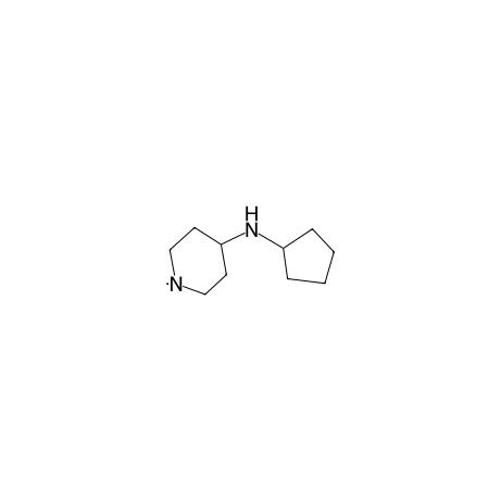 C1CCC(NC2CC[N]CC2)C1